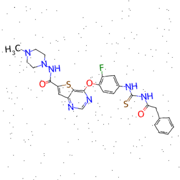 CN1CCN(NC(=O)c2cc3ncnc(Oc4ccc(NC(=S)NC(=O)Cc5ccccc5)cc4F)c3s2)CC1